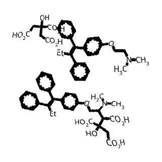 CC/C(=C(\c1ccccc1)c1ccc(OCCN(C)C)cc1)c1ccccc1.CCC(=C(c1ccccc1)c1ccc(OCC(C(C(=O)O)C(O)(CC(=O)O)C(=O)O)N(C)C)cc1)c1ccccc1.O=C(O)CC(O)(CC(=O)O)C(=O)O